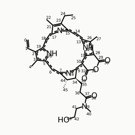 C=Cc1c(C)c2cc3nc(c4c5[nH]c(cc6nc(cc1[nH]2)C(C)=C6CC)c(C)c5C(=O)OC4=O)[C@@H](CCC(=O)N(C)CCO)[C@@H]3C